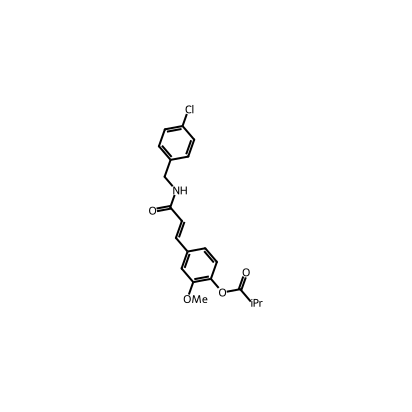 COc1cc(/C=C/C(=O)NCc2ccc(Cl)cc2)ccc1OC(=O)C(C)C